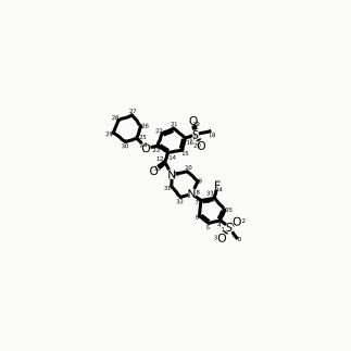 CS(=O)(=O)c1ccc(N2CCN(C(=O)c3cc(S(C)(=O)=O)ccc3OC3CCCCC3)CC2)c(F)c1